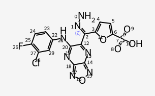 N/N=C(\c1ccc(S(=O)(=O)O)o1)c1nc2nonc2nc1Nc1ccc(F)c(Cl)c1